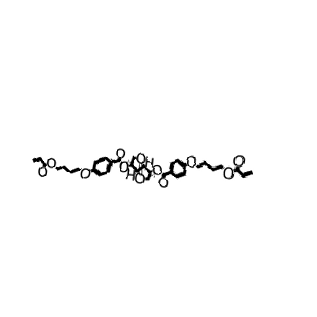 C=CC(=O)OCCCCOc1ccc(C(=O)O[C@H]2CO[C@@H]3[C@H]2OC[C@@H]3OC(=O)c2ccc(OCCCCOC(=O)C=C)cc2)cc1